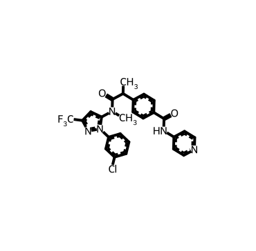 CC(C(=O)N(C)c1cc(C(F)(F)F)nn1-c1cccc(Cl)c1)c1ccc(C(=O)Nc2ccncc2)cc1